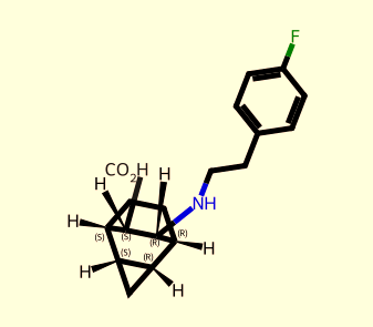 O=C(O)[C@H]1[C@H]2CC[C@H]([C@@H]3C[C@@H]32)[C@H]1NCCc1ccc(F)cc1